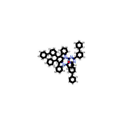 c1ccc(-c2ccc(-c3nc(-c4cccc(-c5ccccc5)c4)nc(-n4c5ccccc5c5c(-c6cccc(-c7ccccc7)c6)c(-c6ccccc6)c6c7ccccc7n(-c7ccccc7)c6c54)n3)cc2)cc1